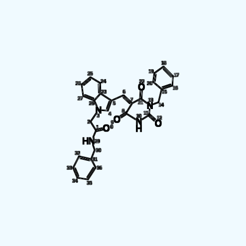 O=C(Cn1cc(/C=C2\C(=O)NC(=O)N(Cc3ccccc3)C2=O)c2ccccc21)NCc1ccccc1